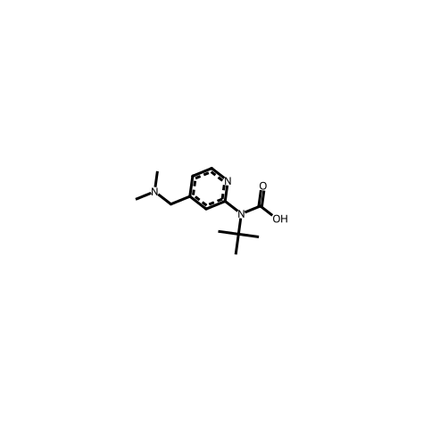 CN(C)Cc1ccnc(N(C(=O)O)C(C)(C)C)c1